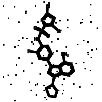 Nc1ncnc2c1c(-c1ccc(NS(=O)(=O)c3sc(Cl)cc3Br)c(F)c1)cn2C1CCCC1